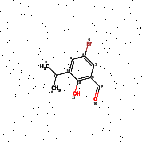 CC(C)c1cc(Br)cc(C=O)c1O